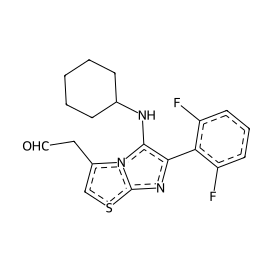 O=CCc1csc2nc(-c3c(F)cccc3F)c(NC3CCCCC3)n12